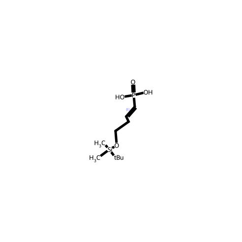 CC(C)(C)[Si](C)(C)OCC/C=C/P(=O)(O)O